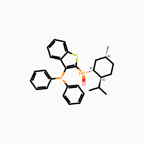 CC(C)[C@@H]1CC[C@@H](C)C[C@H]1[PH](=O)c1sc2ccccc2c1P(c1ccccc1)c1ccccc1